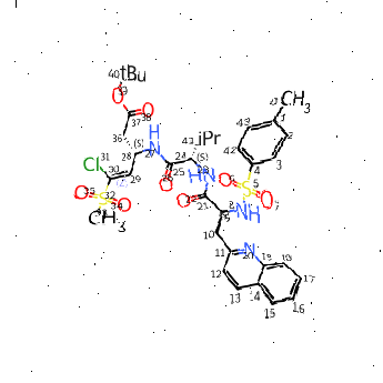 Cc1ccc(S(=O)(=O)N[C@@H](Cc2ccc3ccccc3n2)C(=O)N[C@H](C(=O)N[C@H](/C=C(\Cl)S(C)(=O)=O)CC(=O)OC(C)(C)C)C(C)C)cc1